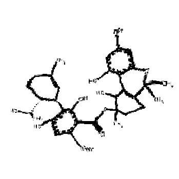 CCCCCc1cc(O)c([C@@H]2C=C(C)CC[C@H]2C(C)O)c(O)c1C(=O)OC1(C)CCC2=C(c3c(O)cc(CCC)cc3OC2(C)C)C1O